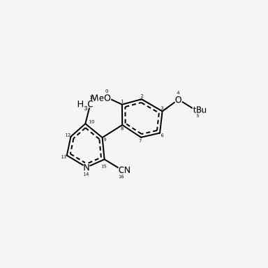 COc1cc(OC(C)(C)C)ccc1-c1c(C)ccnc1C#N